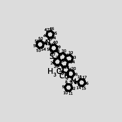 CC1(C)c2cc(N(c3ccccc3)c3ccccc3)ccc2-c2c1c1ccc3c4c(cc5cccc2c5c14)-c1ccc(N(c2ccccc2)c2ccccc2)cc1S3